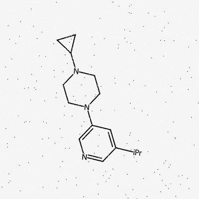 CC(C)c1cncc(N2CCN(C3CC3)CC2)c1